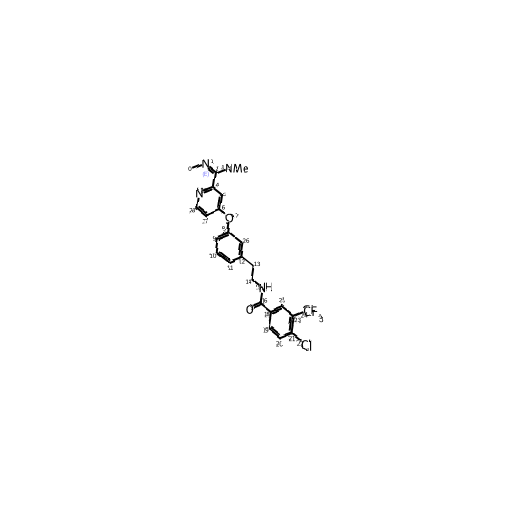 C/N=C(/NC)c1cc(Oc2cccc(CCNC(=O)c3ccc(Cl)c(C(F)(F)F)c3)c2)ccn1